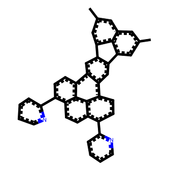 Cc1cc2c3c(cc(C)cc3c1)-c1cc3c(cc1-2)c1ccc(-c2ccccn2)c2ccc4c(-c5ccccn5)ccc3c4c21